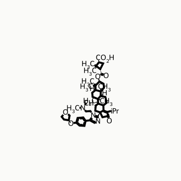 CC(C)C1=C2C3CC[C@@H]4[C@@]5(C)CC[C@H](OC(=O)[C@H]6C[C@@H](C(=O)O)C6(C)C)C(C)(C)[C@@H]5CC[C@@]4(C)[C@]3(C)CC[C@@]2(c2ncc(-c3ccc(O[C@@H]4CCOC4)cc3)n2CCN(C)C)CC1=O